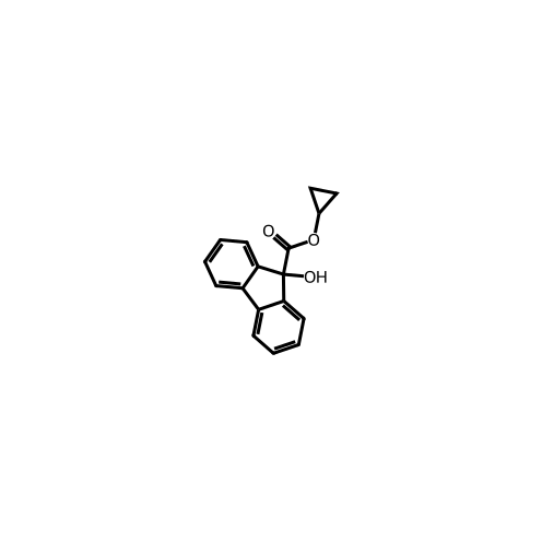 O=C(OC1CC1)C1(O)c2ccccc2-c2ccccc21